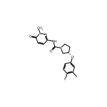 Cn1nc(NC(=O)N2CC[C@H](Oc3ccc(F)c(F)c3)C2)ccc1=O